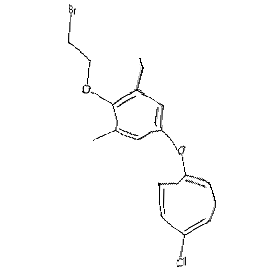 Cc1cc(Oc2ccc(Cl)cc2)cc(C)c1OCCBr